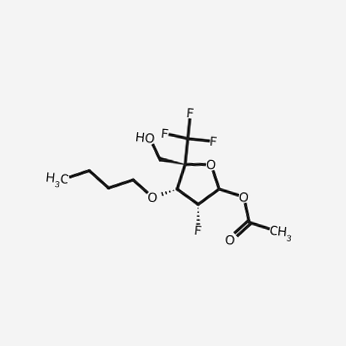 CCCCO[C@H]1[C@@H](F)C(OC(C)=O)O[C@@]1(CO)C(F)(F)F